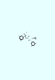 O=C(O)[C@@H]1[C@H](C(=O)N(CC2CC2)c2cc(Cl)cc(Cl)c2)C(C(F)(F)F)NC12C(=O)Nc1c(Cl)cc(Cl)cc12